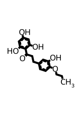 CCCOc1ccc(CCC(=O)c2c(O)cc(O)cc2O)cc1O